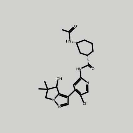 CC(=O)N[C@@H]1CCC[C@H](C(=O)Nc2cc(-c3cnn4c3C(O)C(C)(C)C4)c(Cl)cn2)C1